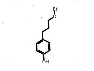 CCOCCCc1ccc(O)cc1